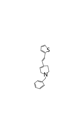 C1=C(/C=C/c2cccs2)CCN(Cc2ccccc2)C1